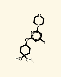 CC1(O)CCC(Oc2cc(I)cc(N3CCOCC3)n2)CC1